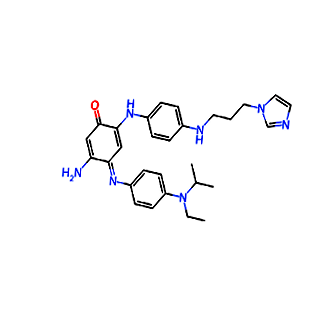 CCN(c1ccc(/N=C2\C=C(Nc3ccc(NCCCn4ccnc4)cc3)C(=O)C=C2N)cc1)C(C)C